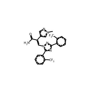 Cn1cc(/C(=C\n2nc(-c3ccccc3C(F)(F)F)nc2-c2ccccc2C(F)(F)F)C(N)=O)cn1